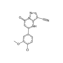 COc1cc(-c2cc(=O)n3ncc(C#N)c3[nH]2)ccc1Cl